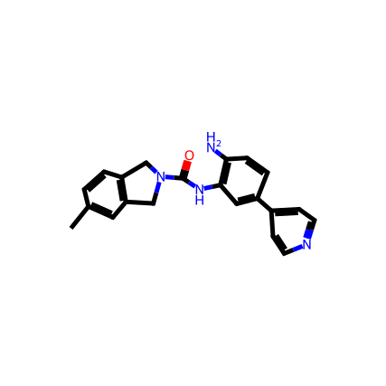 Cc1ccc2c(c1)CN(C(=O)Nc1cc(-c3ccncc3)ccc1N)C2